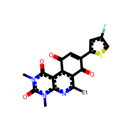 CCc1nc2c(c3c1C(=O)C(c1cc(F)cs1)=CC3=O)c(=O)n(C)c(=O)n2C